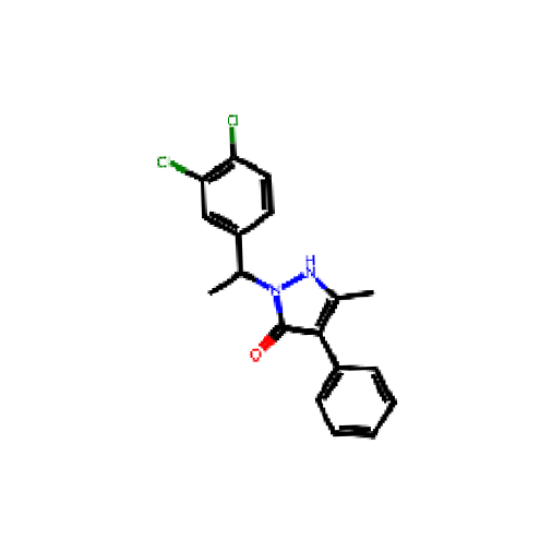 Cc1[nH]n(C(C)c2ccc(Cl)c(Cl)c2)c(=O)c1-c1ccccc1